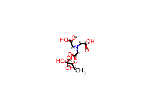 CCC(OC(=O)CN(CC(=O)O)CC(=O)O)C(O)(O)O